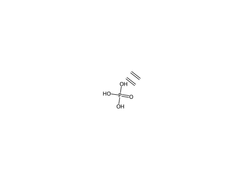 C=C.C=C.O=P(O)(O)O